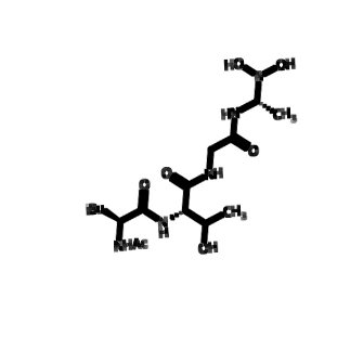 CCC(C)[C@H](NC(C)=O)C(=O)N[C@H](C(=O)NCC(=O)N[C@@H](C)B(O)O)C(C)O